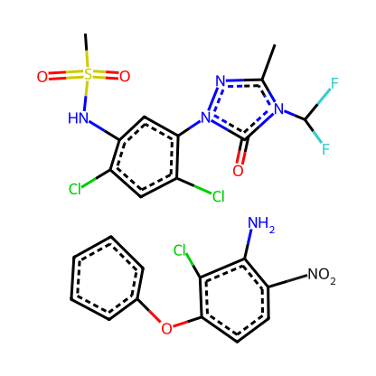 Cc1nn(-c2cc(NS(C)(=O)=O)c(Cl)cc2Cl)c(=O)n1C(F)F.Nc1c([N+](=O)[O-])ccc(Oc2ccccc2)c1Cl